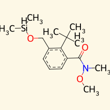 CON(C)C(=O)c1cccc(CO[SiH](C)C)c1C(C)(C)C